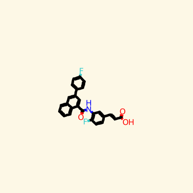 O=C(O)/C=C/c1ccc(F)c(NC(=O)c2cc(-c3ccc(F)cc3)cc3ccccc23)c1